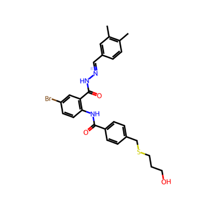 Cc1ccc(/C=N/NC(=O)c2cc(Br)ccc2NC(=O)c2ccc(CSCCCO)cc2)cc1C